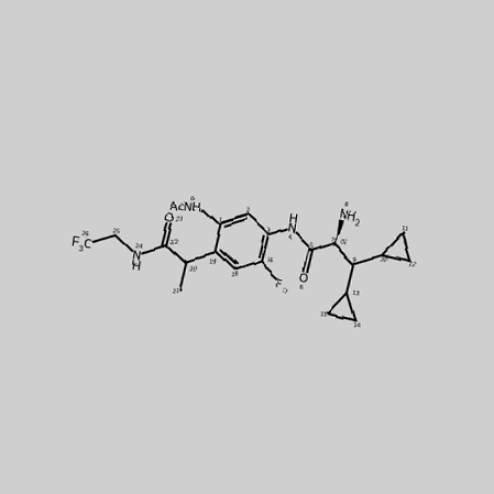 CC(=O)Nc1cc(NC(=O)[C@@H](N)C(C2CC2)C2CC2)c(F)cc1C(C)C(=O)NCC(F)(F)F